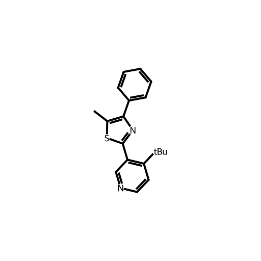 Cc1sc(-c2cnccc2C(C)(C)C)nc1-c1ccccc1